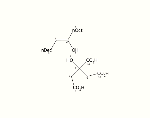 CCCCCCCCCCCC(O)CCCCCCCC.O=C(O)CC(O)(CC(=O)O)C(=O)O